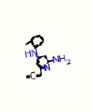 C=C=Cc1cc(Nc2ccccc2C)cc(N)n1